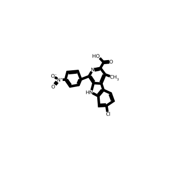 Cc1c(C(=O)O)nc(-c2ccc([N+](=O)[O-])cc2)c2[nH]c3cc(Cl)ccc3c12